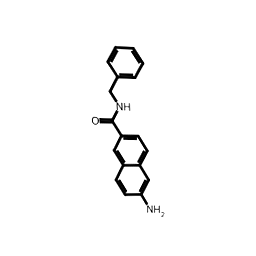 Nc1ccc2cc(C(=O)NCc3ccccc3)ccc2c1